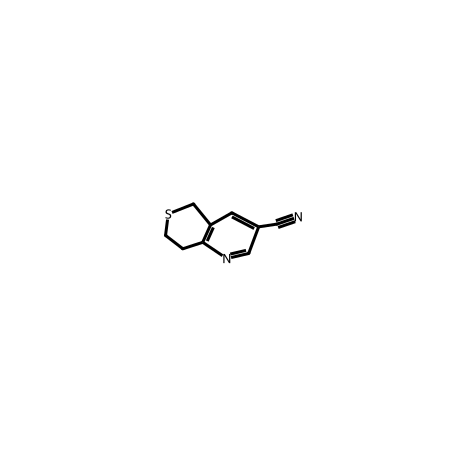 N#Cc1cnc2c(c1)CSCC2